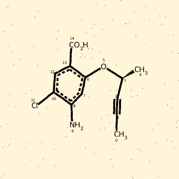 CC#C[C@H](C)Oc1cc(N)c(Cl)cc1C(=O)O